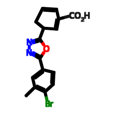 Cc1cc(-c2nnc(C3C=C(C(=O)O)C=CC3)o2)ccc1Br